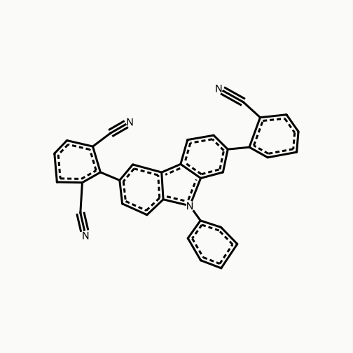 N#Cc1ccccc1-c1ccc2c3cc(-c4c(C#N)cccc4C#N)ccc3n(-c3ccccc3)c2c1